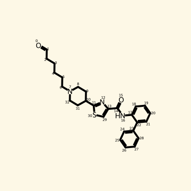 O=CCCCCCN1CCC(c2nc(C(=O)Nc3ccccc3-c3ccccc3)cs2)CC1